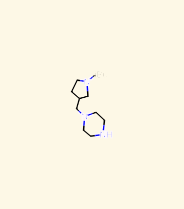 CCC(C)N1CCC(CN2CCNCC2)C1